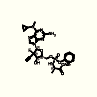 C#C[C@@]1(F)[C@H](O)[C@@H](COP(=O)(N[C@H](C)C(=O)OC)Oc2ccccc2)O[C@H]1n1cnc2c(N(C)C3CC3)nc(N)nc21